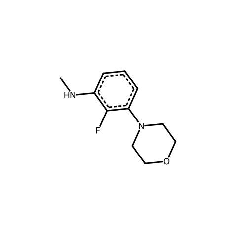 CNc1cccc(N2CCOCC2)c1F